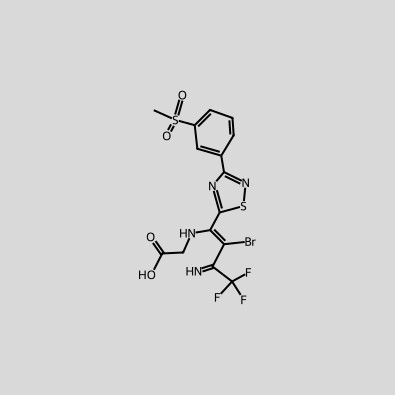 CS(=O)(=O)c1cccc(-c2nsc(/C(NCC(=O)O)=C(\Br)C(=N)C(F)(F)F)n2)c1